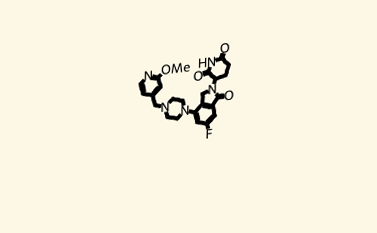 COc1cc(CN2CCN(c3cc(F)cc4c3CN(C3CCC(=O)NC3=O)C4=O)CC2)ccn1